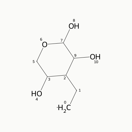 [CH2]CC1C(O)COC(O)C1O